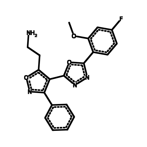 COc1cc(F)ccc1-c1nnc(-c2c(-c3ccccc3)noc2CCN)o1